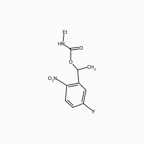 CCNC(=O)OC(C)c1cc(F)ccc1[N+](=O)[O-]